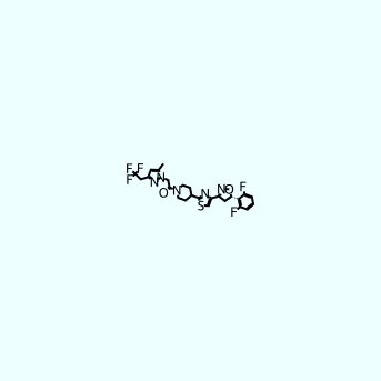 Cc1cc(CC(F)(F)F)nn1CC(=O)N1CCC(c2nc(C3=NO[C@H](c4c(F)cccc4F)C3)cs2)CC1